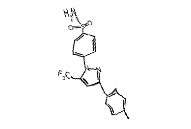 Cc1ccc(-c2cc(C(F)(F)F)n(-c3ccc(S(N)(=O)=O)cc3)n2)cc1